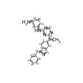 CN(c1ccc2c(cnn2Cc2ccccc2)c1)c1ncnc(Nc2cccc(N)c2)n1